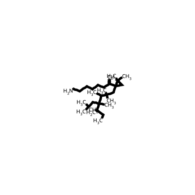 C=C(CC)C(C)(CC(C)(C)C)C(C)C(C)(C)CC1(C(=C)CCCCCCN)CC1(C)C